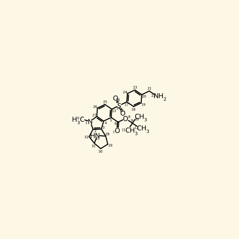 Cn1c2c(c3c(C(=O)OC(C)(C)C)c(S(=O)(=O)c4ccc(CN)cc4)ccc31)C1CCC(C2)N1